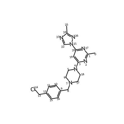 Cc1nc(N2CCN(Cc3ccc(CCl)cc3)CC2)cc(-n2cnc(C)n2)n1